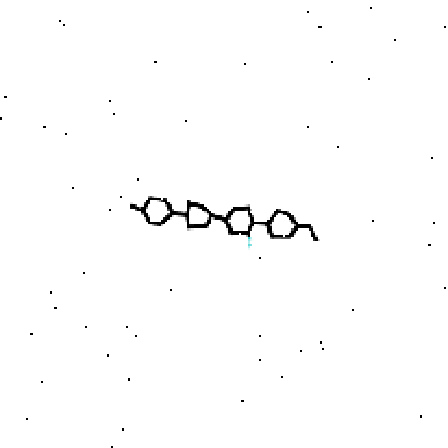 CCC1CCC(C2CCC(C3CCC(C4CCC(C)CC4)CC3)CC2F)CC1